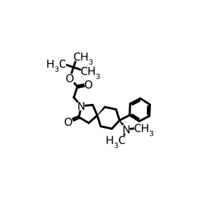 CN(C)[C@]1(c2ccccc2)CC[C@@]2(CC1)CC(=O)N(CC(=O)OC(C)(C)C)C2